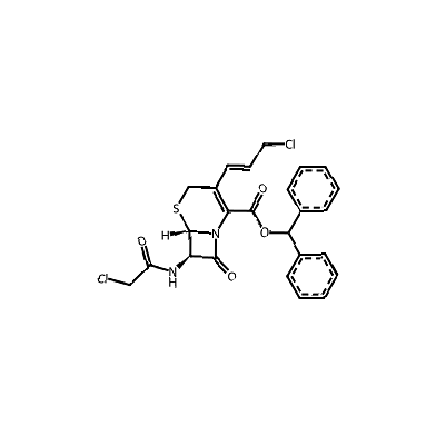 O=C(CCl)N[C@@H]1C(=O)N2C(C(=O)OC(c3ccccc3)c3ccccc3)=C(C=CCCl)CS[C@@H]12